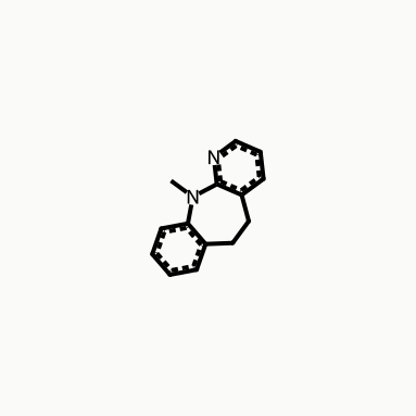 CN1c2ccccc2CCc2cccnc21